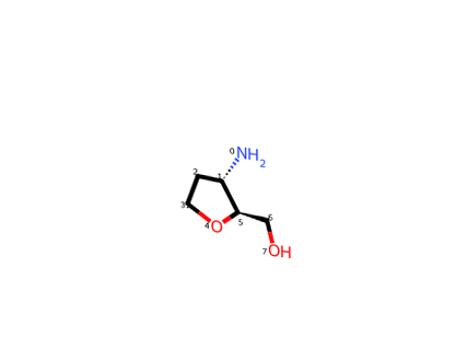 N[C@H]1C[CH]O[C@@H]1CO